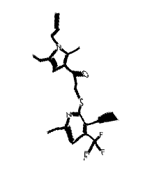 C#Cc1c(C(F)(F)F)cc(C)nc1SCC(=O)c1cc(C)n(CC=C)c1C